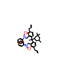 C=CCc1ccc(C(C)(c2ccc(CC=C)c3c2CN(c2ccccc2)CO3)C2CC(C)CC(C)(C)C2)c2c1OCN(c1ccccc1)C2